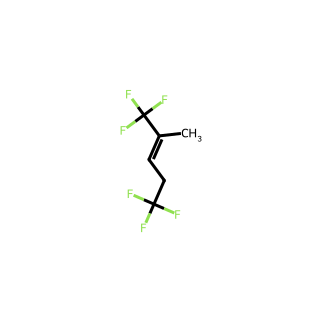 C/C(=C\CC(F)(F)F)C(F)(F)F